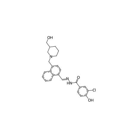 O=C(N/N=C/c1ccc(CN2CCCC(CO)C2)c2ccccc12)c1ccc(O)c(Cl)c1